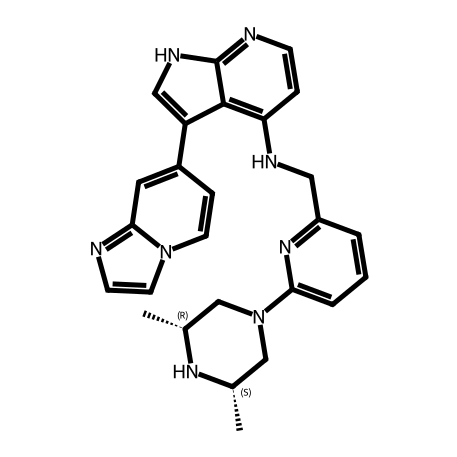 C[C@@H]1CN(c2cccc(CNc3ccnc4[nH]cc(-c5ccn6ccnc6c5)c34)n2)C[C@H](C)N1